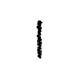 CCCCCCCCCCCCCCCCCCCCCCCC[O]